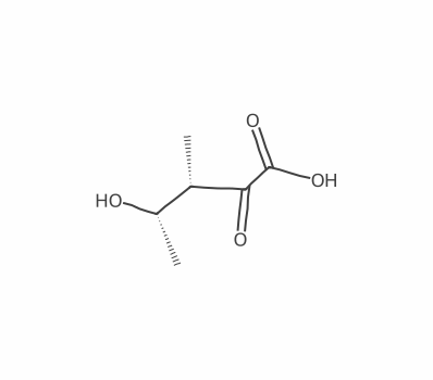 C[C@H](O)[C@H](C)C(=O)C(=O)O